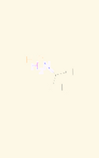 CC(C)N.P